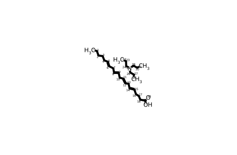 CCCCCC=CCC=CCC=CCC=CCCCC(=O)O.CCCN(CCC)CCC